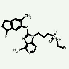 Cc1cc2c(cc1Sc1nc3c(N)ncnc3n1CCCS(=O)(=O)NCC(C)C)C(F)CC2